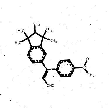 CC1C(C)(C)c2ccc(C(=CC=O)c3ccc([S+](C)[O-])cc3)cc2C1(C)C